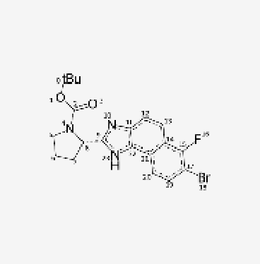 CC(C)(C)OC(=O)N1CCC[C@H]1c1nc2ccc3c(F)c(Br)ccc3c2[nH]1